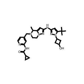 CC1c2cc(Nc3cc(C(C)(C)C)n(C4CC(O)C4)n3)nn2CCN1Cc1ccnc(NC(=O)C2CC2)c1